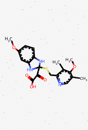 COc1ccc2c(c1)NC(SCc1ncc(C)c(OC)c1C)(C(=O)C(=O)O)N2